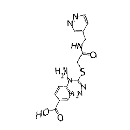 N/N=C(/SCC(=O)NCc1ccnnc1)N(N)c1ccc(C(=O)O)cc1